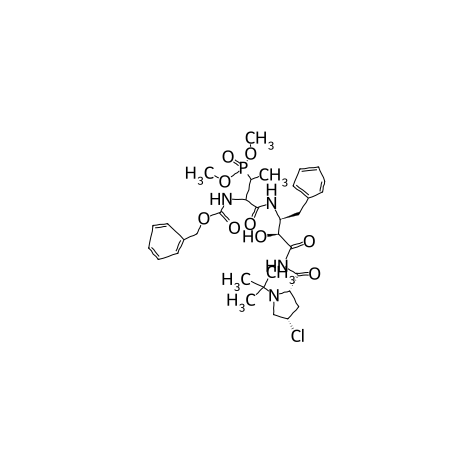 COP(=O)(OC)C(C)C(NC(=O)OCc1ccccc1)C(=O)N[C@@H](Cc1ccccc1)[C@H](O)C(=O)NC(=O)[C@@H]1C[C@H](Cl)CN1C(C)(C)C